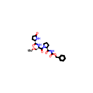 CC(C)(C)OC[C@H](NC(=O)[C@@H]1CCC(=O)N1)C(=O)N1CCC[C@H]1C(=O)NC(=O)OCc1ccccc1